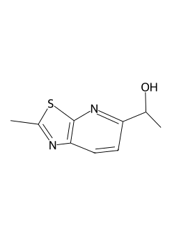 Cc1nc2ccc(C(C)O)nc2s1